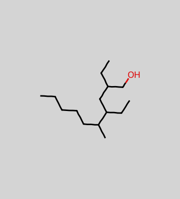 CCCCCC(C)C(CC)CC(CC)CO